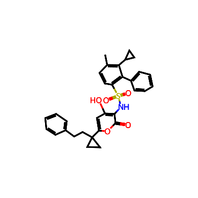 Cc1ccc(S(=O)(=O)Nc2c(O)cc(C3(CCc4ccccc4)CC3)oc2=O)c(-c2ccccc2)c1C1CC1